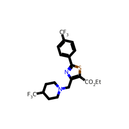 CCOC(=O)c1sc(-c2ccc(C(F)(F)F)cc2)nc1CN1CCC(C(F)(F)F)CC1